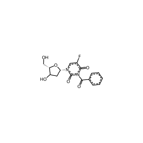 O=C(c1ccccc1)n1c(=O)c(F)cn([C@@H]2CC(O)[C@H](CO)O2)c1=O